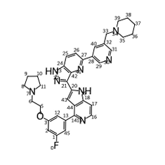 Fc1cc(OCCN2CCCC2)cc(-c2nccc3[nH]c(-c4n[nH]c5ccc(-c6cncc(CN7CCCCC7)c6)nc45)cc23)c1